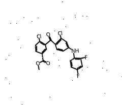 COC(=O)c1ccc(Cl)c(C(=O)c2ccc(Nc3ccc(F)cc3F)cc2Cl)c1